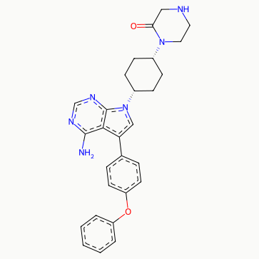 Nc1ncnc2c1c(-c1ccc(Oc3ccccc3)cc1)cn2[C@H]1CC[C@@H](N2CCNCC2=O)CC1